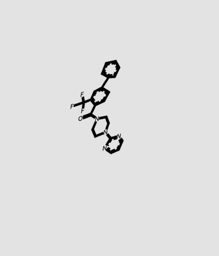 O=C(c1ccc(-c2ccccc2)cc1C(F)(F)F)N1CCN(c2ncccn2)CC1